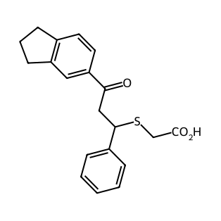 O=C(O)CSC(CC(=O)c1ccc2c(c1)CCC2)c1ccccc1